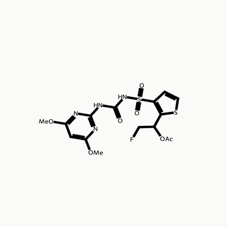 COc1cc(OC)nc(NC(=O)NS(=O)(=O)c2ccsc2C(CF)OC(C)=O)n1